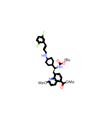 COC(=O)c1ccc(C[C@H](NC(=O)OC(C)(C)C)C2CCC(NC/C=C/c3cc(F)ccc3F)CC2)c2nc(OC)ccc12